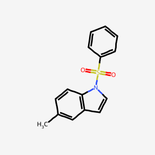 Cc1ccc2c(ccn2S(=O)(=O)c2ccccc2)c1